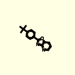 CC(C)(C)c1ccc(-c2nc3ncccc3o2)cc1